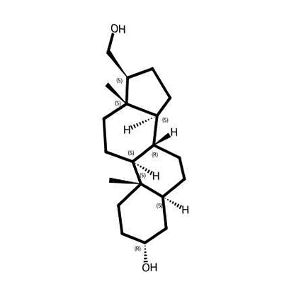 C[C@]12CC[C@@H](O)C[C@@H]1CC[C@@H]1[C@@H]2CC[C@]2(C)[C@@H](CO)CC[C@@H]12